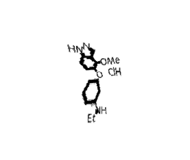 CCN[C@@H]1CCC[C@H](Oc2ccc3[nH]ncc3c2OC)C1.Cl